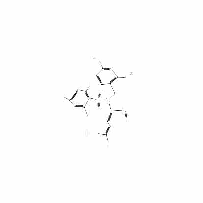 C=N/C(=C\C=C(/C)F)N(Cc1ccc(OC)cc1OC)S(=O)(=O)c1c(F)cc(F)cc1F